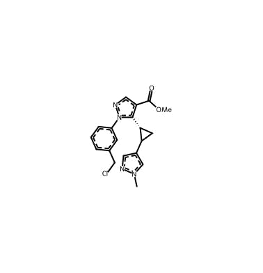 COC(=O)c1cnn(-c2cccc(CCl)c2)c1[C@@H]1CC1c1cnn(C)c1